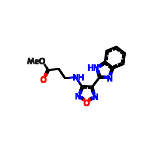 COC(=O)CCNc1nonc1-c1nc2ccccc2[nH]1